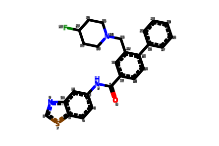 O=C(Nc1ccc2scnc2c1)c1ccc(-c2ccccc2)c(CN2CCC(F)CC2)c1